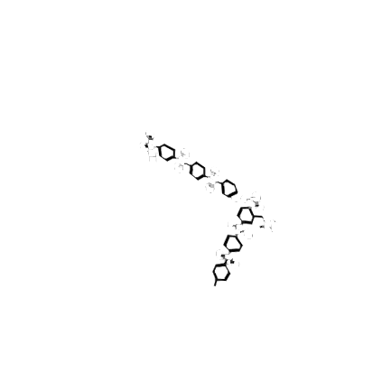 Cc1ccc(S(=O)(=O)c2ccc(S(=O)(=O)c3ccc([S](=O)(=O)[Co][c]4ccc(S(=O)(=O)c5ccc(S(=O)(=O)c6ccc([SH](=O)=O)cc6)cc5)cc4)c(C[N+](C)(C)C)c3)cc2)cc1